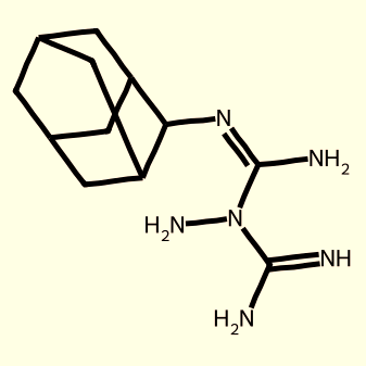 N=C(N)N(N)C(N)=NC1C2CC3CC(C2)CC1C3